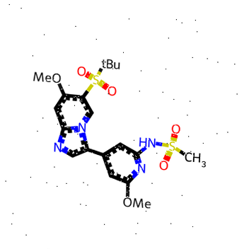 COc1cc(-c2cnc3cc(OC)c(S(=O)(=O)C(C)(C)C)cn23)cc(NS(C)(=O)=O)n1